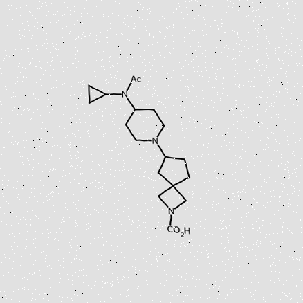 CC(=O)N(C1CC1)C1CCN(C2CCC3(C2)CN(C(=O)O)C3)CC1